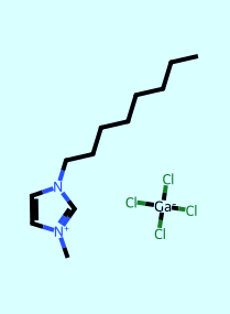 CCCCCCCCn1cc[n+](C)c1.[Cl][Ga-]([Cl])([Cl])[Cl]